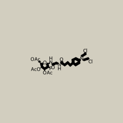 CC(=O)OC[C@H]1O[C@@H](NC(=O)CNC(=O)CCCc2ccc(N(CCCl)CCCl)cc2)[C@@H](F)[C@@H](OC(C)=O)[C@@H]1OC(C)=O